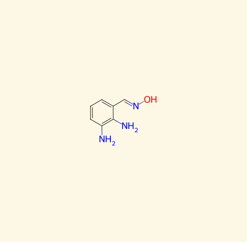 Nc1cccc(C=NO)c1N